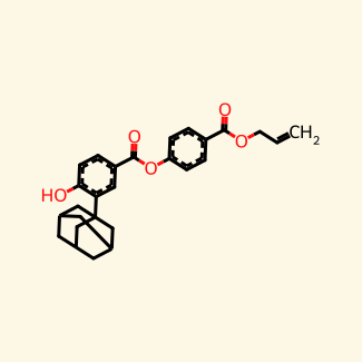 C=CCOC(=O)c1ccc(OC(=O)c2ccc(O)c(C34CC5CC(CC(C5)C3)C4)c2)cc1